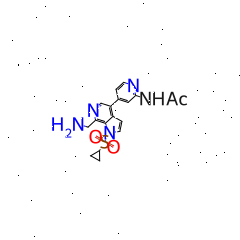 CC(=O)Nc1cc(-c2cnc(CN)c3c2ccn3S(=O)(=O)C2CC2)ccn1